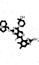 Cc1cc2sc(N)nc2c(-c2ncc3c(N4CCCC(C)(O)C4)nc(OCC45CCCCN4CCC5)nc3c2F)c1C